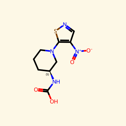 O=C(O)N[C@H]1CCCN(c2sncc2[N+](=O)[O-])C1